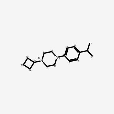 CC(C)c1ccc(N2CCN(C3CCC3)CC2)cc1